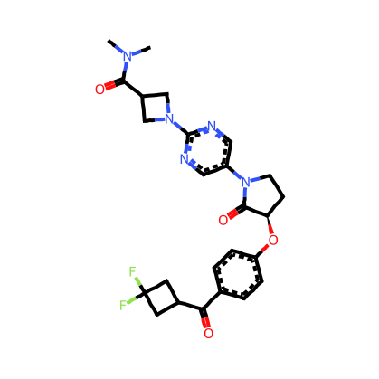 CN(C)C(=O)C1CN(c2ncc(N3CC[C@@H](Oc4ccc(C(=O)C5CC(F)(F)C5)cc4)C3=O)cn2)C1